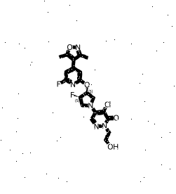 Cc1noc(C)c1-c1cc(F)nc(O[C@H]2CN(c3cnn(CCO)c(=O)c3Cl)C[C@@H]2F)c1